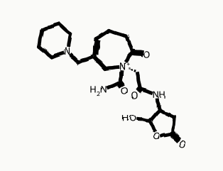 NC(=O)[N@@+]1(CC(=O)NC2CC(=O)OC2O)CC(CN2CCCCC2)=CC[C]C1=O